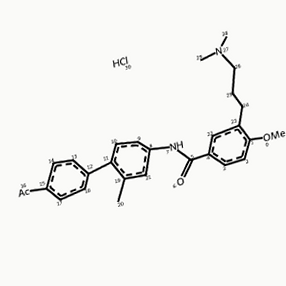 COc1ccc(C(=O)Nc2ccc(-c3ccc(C(C)=O)cc3)c(C)c2)cc1CCCN(C)C.Cl